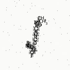 CCC(C)n1ncn(-c2ccc(N3CCN(c4ccc(OC[C@@H]5CO[C@@](Cn6cnc(Br)n6)(c6ccc(F)cc6F)O5)cc4)CC3)cc2)c1=O